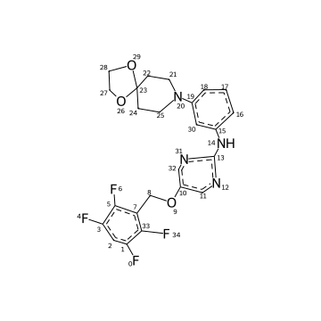 Fc1cc(F)c(F)c(COc2cnc(Nc3cccc(N4CCC5(CC4)OCCO5)c3)nc2)c1F